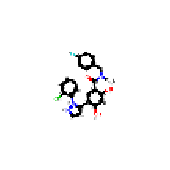 CN(Cc1ccc(F)cc1)C(=O)c1cc(-c2ccnn2-c2ccccc2Cl)c(O)cc1O